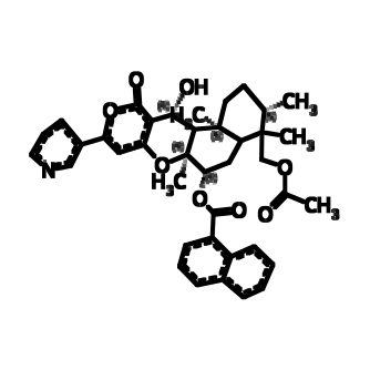 CC(=O)OCC1(C)C2C[C@H](OC(=O)c3cccc4ccccc34)[C@@]3(C)Oc4cc(-c5cccnc5)oc(=O)c4[C@H](O)C3[C@@]2(C)CC[C@@H]1C